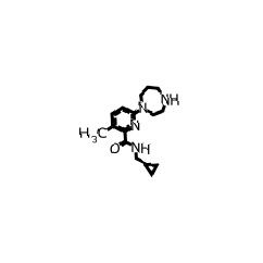 Cc1ccc(N2CCCNCC2)nc1C(=O)NCC1CC1